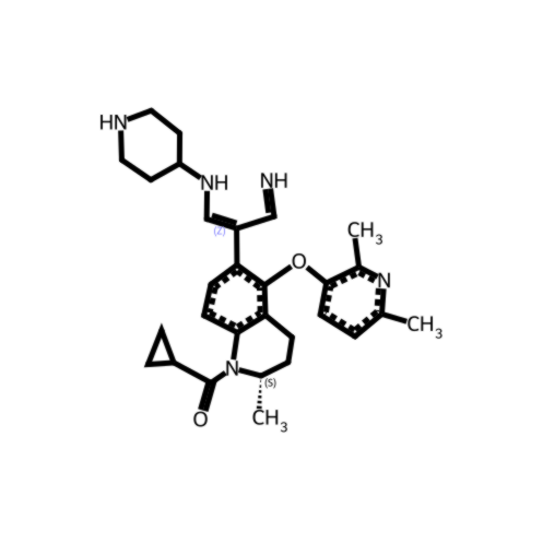 Cc1ccc(Oc2c(/C(C=N)=C/NC3CCNCC3)ccc3c2CC[C@H](C)N3C(=O)C2CC2)c(C)n1